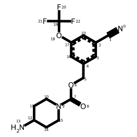 N#Cc1cc(COC(=O)N2CCC(N)CC2)cc(OC(F)(F)F)c1